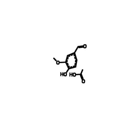 CC(=O)O.COc1cc(C=O)ccc1O